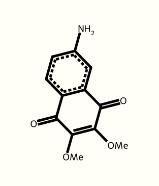 COC1=C(OC)C(=O)c2cc(N)ccc2C1=O